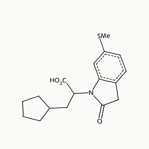 CSc1ccc2c(c1)N(C(CC1CCCC1)C(=O)O)C(=O)C2